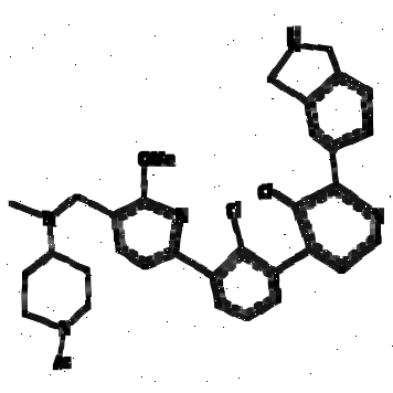 COc1nc(-c2cccc(-c3ccnc(-c4ccc5c(c4)CNC5)c3Cl)c2Cl)ccc1CN(C)C1CCN(C(C)=O)CC1